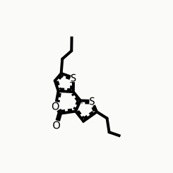 CCCc1cc2oc(=O)c3cc(CCC)sc3c2s1